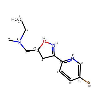 CN(CC(=O)O)C[C@@H]1CC(c2ccc(Br)cn2)=NO1